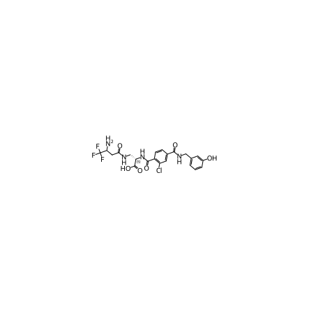 NC(CC(=O)NC[C@H](NC(=O)c1ccc(C(=O)NCc2cccc(O)c2)cc1Cl)C(=O)O)C(F)(F)F